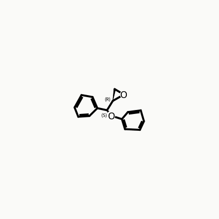 c1ccc(O[C@@H](c2ccccc2)[C@H]2CO2)cc1